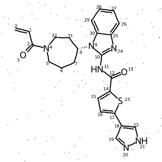 C=CC(=O)N1CCC[C@@H](n2c(NC(=O)c3ccc(-c4cn[nH]c4)s3)nc3ccccc32)CC1